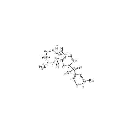 CC1C[C@H]2c3cc(S(=O)(=O)c4cccc(F)c4)ccc3N[C@@H]2CCN1